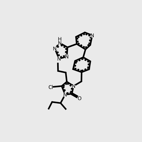 CCCc1c(Cl)n(C(C)CC)c(=O)n1Cc1ccc(-c2cnccc2-c2nnn[nH]2)cc1